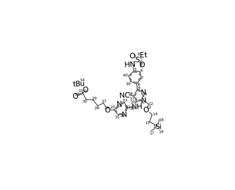 CCS(=O)(=O)Nc1ccc(-c2nn(COCC[Si](C)(C)C)c(Nc3cnc(OCCCCC(=O)OC(C)(C)C)cn3)c2C#N)cc1